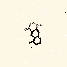 CNC(=O)c1cc2c(Cl)cccc2cc1OC